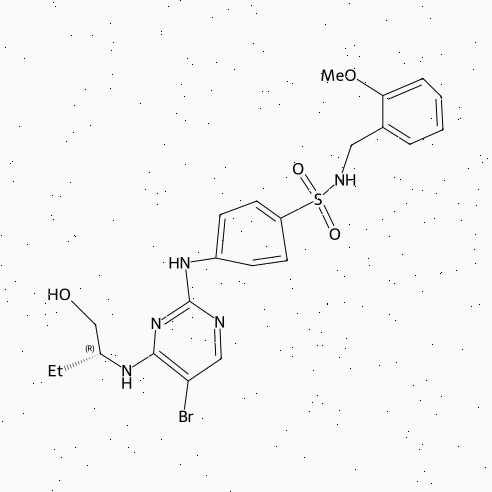 CC[C@H](CO)Nc1nc(Nc2ccc(S(=O)(=O)NCc3ccccc3OC)cc2)ncc1Br